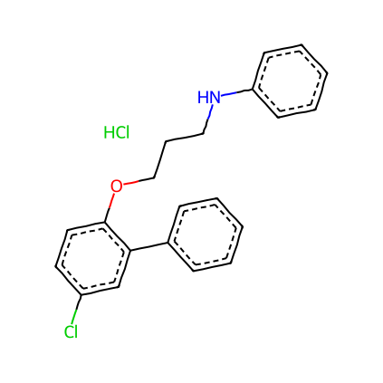 Cl.Clc1ccc(OCCCNc2ccccc2)c(-c2ccccc2)c1